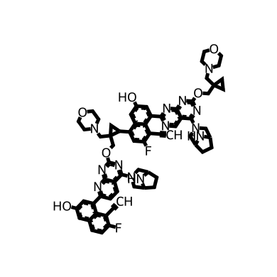 C#Cc1c(F)ccc2cc(O)cc(-c3ccc4c(N5CC6CCC(C5)N6)nc(OCC5(CN6CCOCC6)CC5c5cc(F)c(C#C)c6c(-c7ncc8c(N9CC%10CCC(C9)N%10)nc(OCC9(CN%10CCOCC%10)CC9)nc8n7)cc(O)cc56)nc4n3)c12